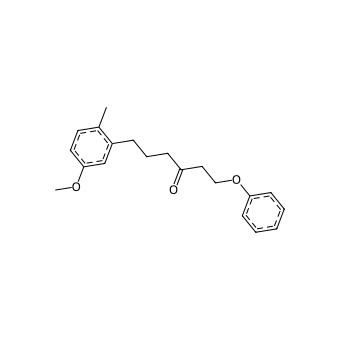 COc1ccc(C)c(CCCC(=O)CCOc2ccccc2)c1